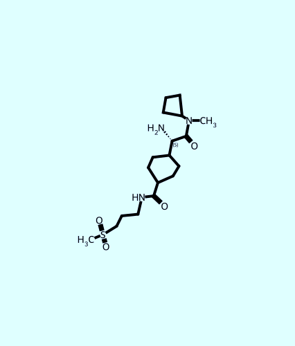 CN(C(=O)[C@@H](N)C1CCC(C(=O)NCCCS(C)(=O)=O)CC1)C1CCC1